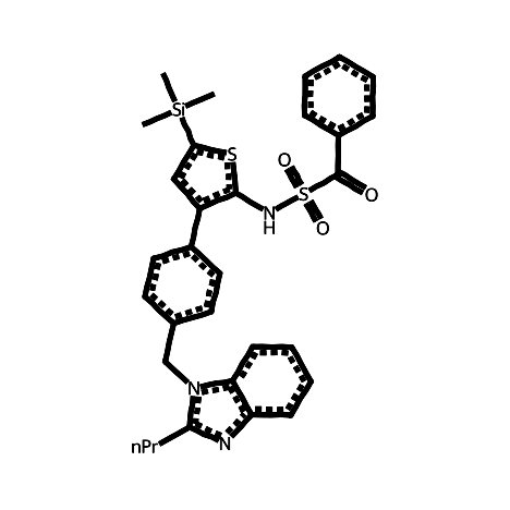 CCCc1nc2ccccc2n1Cc1ccc(-c2cc([Si](C)(C)C)sc2NS(=O)(=O)C(=O)c2ccccc2)cc1